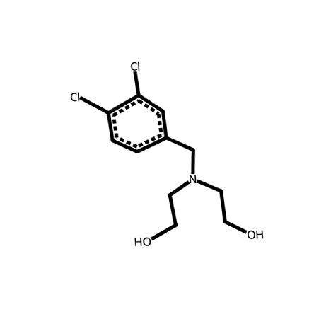 OCCN(CCO)Cc1ccc(Cl)c(Cl)c1